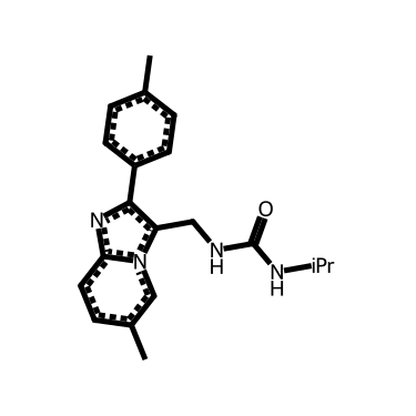 Cc1ccc(-c2nc3ccc(C)cn3c2CNC(=O)NC(C)C)cc1